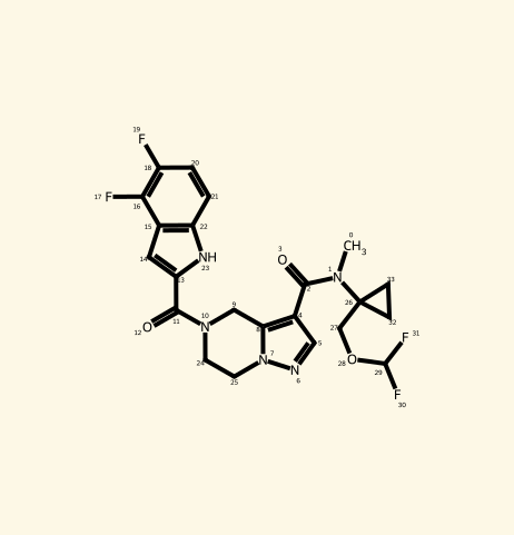 CN(C(=O)c1cnn2c1CN(C(=O)c1cc3c(F)c(F)ccc3[nH]1)CC2)C1(COC(F)F)CC1